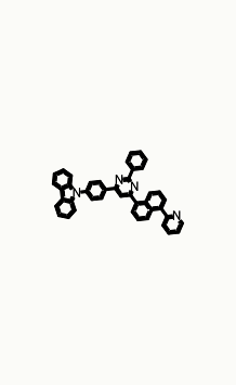 c1ccc(-c2nc(-c3ccc(-n4c5ccccc5c5ccccc54)cc3)cc(-c3cccc4c(-c5ccccn5)cccc34)n2)cc1